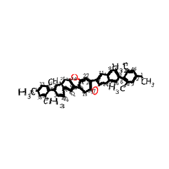 CCc1cc(C)c(-c2ccc3cc4c(cc3c2)oc2cc3c(cc24)oc2cc4cc(-c5c(C)cc(C)cc5C)ccc4cc23)c(C)c1